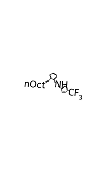 CCCCCCCCC#Cc1ccccc1CNCc1ccc(C(F)(F)F)cc1